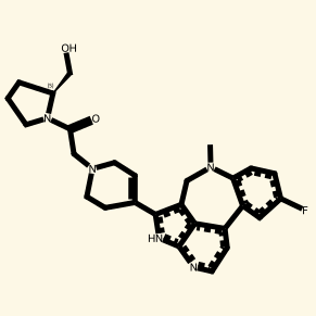 CN1Cc2c(C3=CCN(CC(=O)N4CCC[C@H]4CO)CC3)[nH]c3nccc(c23)-c2cc(F)ccc21